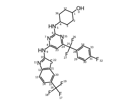 OC1CCC(Nc2nc(Nc3nc4ccc(C(F)(F)F)cc4s3)cc(C(F)(F)c3ccc(F)cc3)n2)CC1